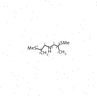 CSC(C)CNCC(C)SC